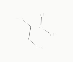 CC(=O)OCCO.CCCOCCC